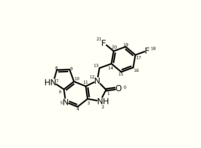 O=c1[nH]c2cnc3[nH]ccc3c2n1Cc1ccc(F)cc1F